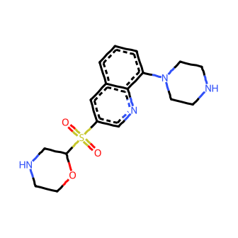 O=S(=O)(c1cnc2c(N3CCNCC3)cccc2c1)C1CNCCO1